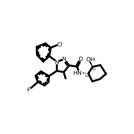 CC1C(C(=O)N[C@H]2CCCC[C@@H]2O)=NN(c2ccccc2Cl)C1c1ccc(F)cc1